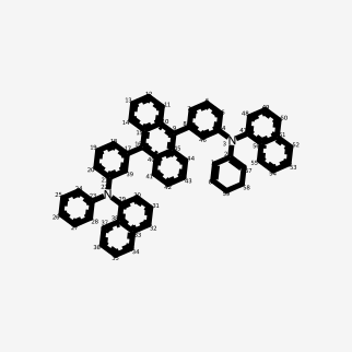 C1=CC(N(c2cccc(-c3c4ccccc4c(-c4cccc(N(c5ccccc5)c5cccc6ccccc56)c4)c4ccccc34)c2)c2cccc3ccccc23)=CCC1